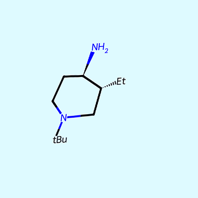 CC[C@@H]1CN(C(C)(C)C)CC[C@H]1N